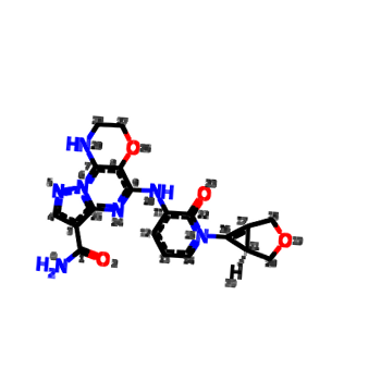 NC(=O)c1cnn2c3c(c(Nc4cccn(C5=C6COC[C@H]65)c4=O)nc12)OCCN3